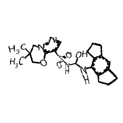 CC1(C)COc2c(S(=O)(=O)NC(O)Nc3c4c(cc5c3CCC5)CCC4)cnn2C1